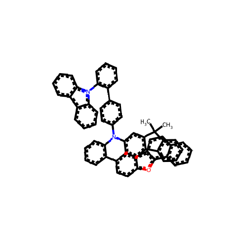 CC1(C)c2ccccc2-c2ccc(N(c3ccc(-c4ccccc4-n4c5ccccc5c5ccccc54)cc3)c3ccccc3-c3ccc4oc5c6ccccc6ccc5c4c3)cc21